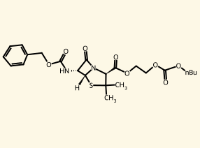 CCCCOC(=O)OCCOC(=O)[C@@H]1N2C(=O)[C@@H](NC(=O)OCc3ccccc3)[C@H]2SC1(C)C